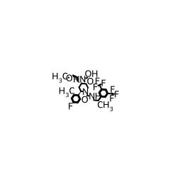 CO/C=C\C[C@]1(NC(=O)O)CCN(C(=O)NC[C@H](C)c2cc(C(F)(F)F)cc(C(F)(F)F)c2)[C@@H](c2ccc(F)cc2C)C1